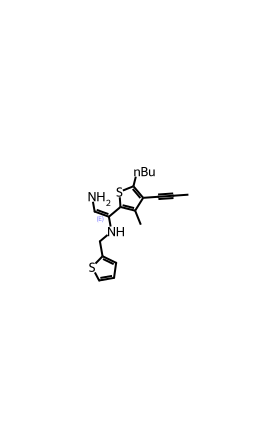 CC#Cc1c(CCCC)sc(/C(=C\N)NCc2cccs2)c1C